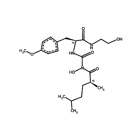 COc1ccc(C[C@H](NC(=O)N(O)C(=O)[C@@H](C)CCC(C)C)C(=O)NCCO)cc1